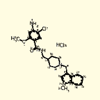 COc1cc(N)c(Cl)cc1C(=O)NCC1CCN(Cc2cn(C)c3ccccc23)CC1.Cl